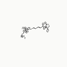 NCCOP(=O)(O)OCCCCCC(=O)ON1C(=O)CCC1=O